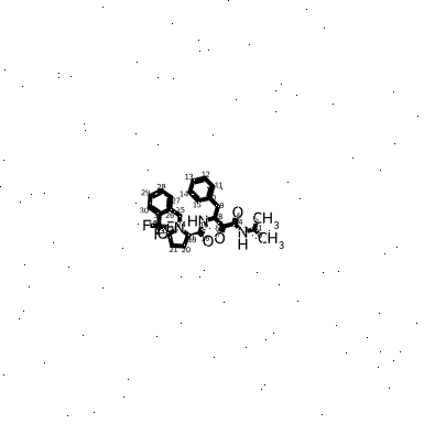 CC(C)NC(=O)C(=O)C(Cc1ccccc1)NC(=O)[C@H]1CCC(=O)N1Cc1ccccc1C(F)(F)F